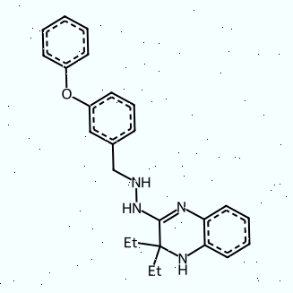 CCC1(CC)Nc2ccccc2N=C1NNCc1cccc(Oc2ccccc2)c1